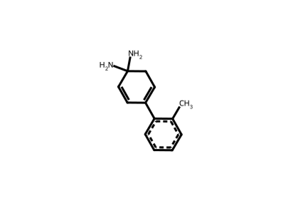 Cc1ccccc1C1=CCC(N)(N)C=C1